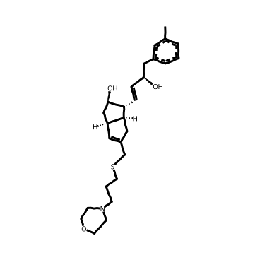 Cc1cccc(C[C@@H](O)/C=C/[C@@H]2[C@H]3CC(CSCCCN4CCOCC4)=C[C@H]3C[C@H]2O)c1